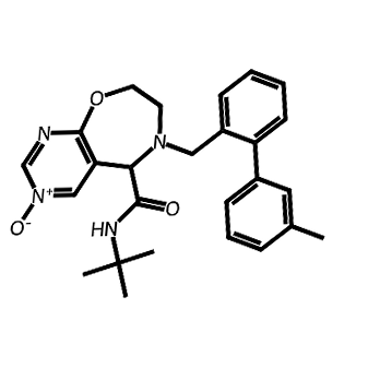 Cc1cccc(-c2ccccc2CN2CCOc3nc[n+]([O-])cc3C2C(=O)NC(C)(C)C)c1